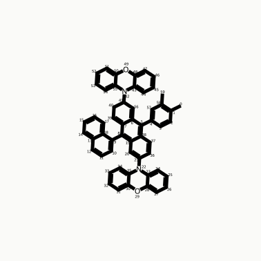 Cc1ccc(-c2c3c(c(-c4cccc5ccccc45)c4cc(N5c6ccccc6Oc6ccccc65)ccc24)=CCC(N2c4ccccc4Oc4ccccc42)C=3)cc1C